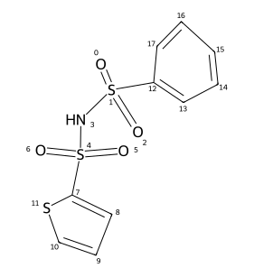 O=S(=O)(NS(=O)(=O)c1cccs1)c1ccccc1